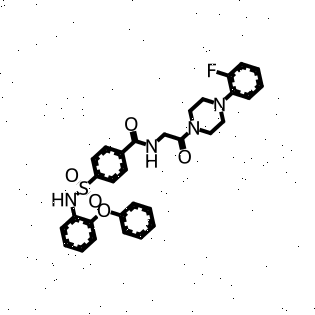 O=C(NCC(=O)N1CCN(c2ccccc2F)CC1)c1ccc(S(=O)(=O)Nc2ccccc2Oc2ccccc2)cc1